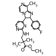 CCOC(=O)C(C)(C)CNc1nccc(C2C(c3ccc(F)cc3)N=C3C(C)=NC=CN32)n1